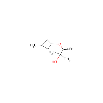 CC1CC(O[C@@H](C(C)C)C(C)(C)O)C1